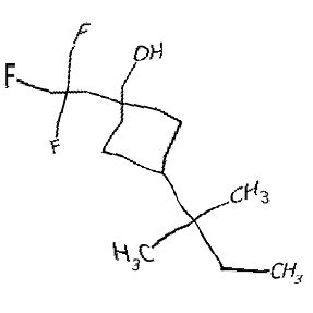 CCC(C)(C)C1CC(O)(C(F)(F)F)C1